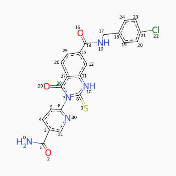 NC(=O)c1ccc(-n2c(=S)[nH]c3cc(C(=O)NCc4ccc(Cl)cc4)ccc3c2=O)nc1